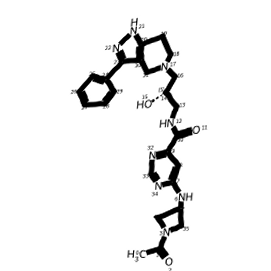 CC(=O)N1CC(Nc2cc(C(=O)NC[C@H](O)CN3CCc4[nH]nc(-c5ccccc5)c4C3)ncn2)C1